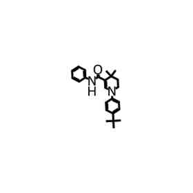 CC1(C)CCN(c2ccc(C(C)(C)C)cc2)C=C1C(=O)Nc1ccccc1